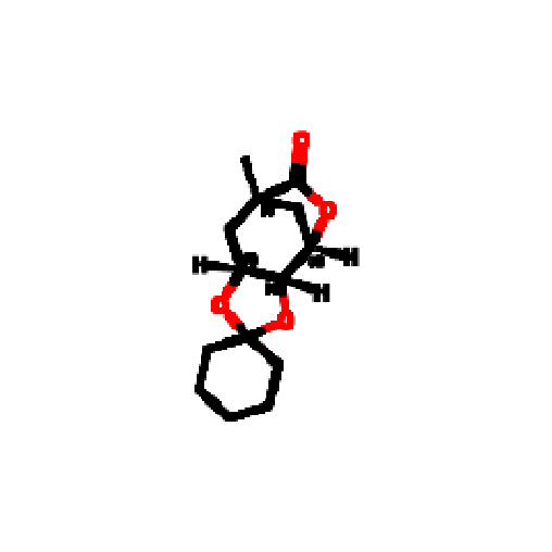 C[C@@]12C[C@@H](OC1=O)[C@@H]1OC3(CCCCC3)O[C@@H]1C2